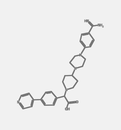 N=C(N)c1ccc(N2CCN(C3CCN(C(C(=O)O)c4ccc(-c5ccncc5)cc4)CC3)CC2)cc1